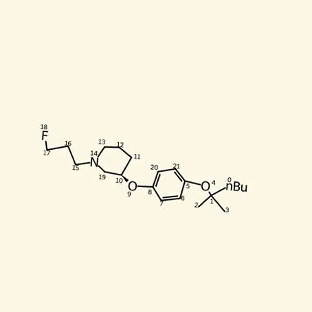 CCCCC(C)(C)Oc1ccc(O[C@@H]2CCCN(CCCF)C2)cc1